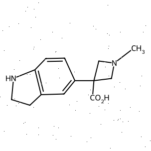 CN1CC(C(=O)O)(c2ccc3c(c2)CCN3)C1